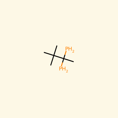 CC(C)(C)C(C)(P)P